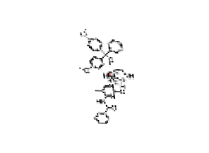 COc1ccc(C(OC[C@@]23CN[C@@H]([C@H](n4cc(C)c(NC(=O)c5ccccc5)nc4=O)O2)[C@@H]3O)(c2ccccc2)c2ccc(OC)cc2)cc1